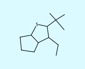 CCC1C2CCCC2SC1C(C)(C)C